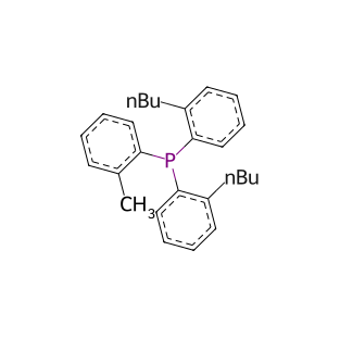 CCCCc1ccccc1P(c1ccccc1C)c1ccccc1CCCC